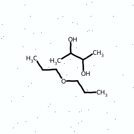 CC(O)C(C)O.CCCOCCC